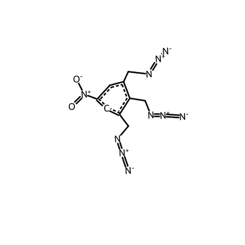 [N-]=[N+]=NCc1cc([N+](=O)[O-])cc(CN=[N+]=[N-])c1CN=[N+]=[N-]